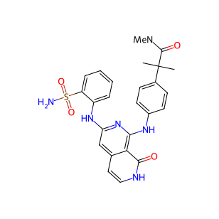 CNC(=O)C(C)(C)c1ccc(Nc2nc(Nc3ccccc3S(N)(=O)=O)cc3cc[nH]c(=O)c23)cc1